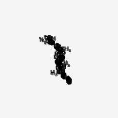 Cc1c(NC(=O)c2nc3c(n2C)CCN(C2CCCCC2)C3)cccc1-c1cccc(NC(=O)c2nc3c(n2C)CCN(C2CCC(C)(C(=O)O)CC2)C3)c1Cl